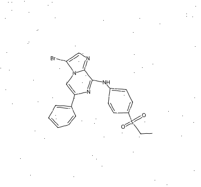 CCS(=O)(=O)c1ccc(Nc2nc(-c3ccccc3)cn3c(Br)cnc23)cc1